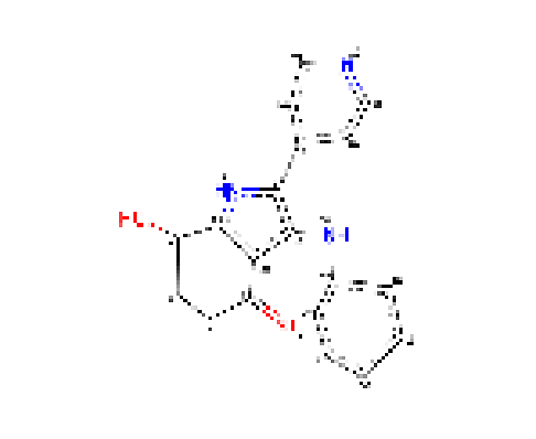 O=C1CCC(O)c2[nH]c(-c3ccncc3)c(Nc3ccccc3)c21